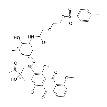 COc1cccc2c1C(=O)c1c(O)c3c(c(O)c1C2=O)C[C@@](O)(C(C)=O)C[C@@H]3O[C@H]1CC(NC(COCCOS(=O)(=O)c2ccc(C)cc2)OC)C(O)[C@H](C)O1